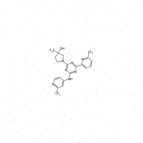 OC1(C(F)(F)F)CCN(c2nc(Nc3ccnc(C(F)(F)F)c3)nc(-c3cccc(C(F)(F)F)n3)n2)C1